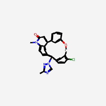 Cc1ncn(C2c3ccc(Cl)c(c3)COc3cccc(c3)-c3cc(=O)n(C)c4ccc2cc34)n1